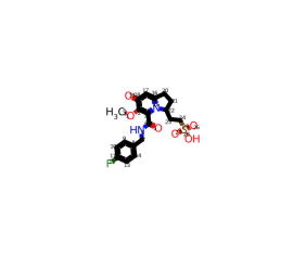 COc1c(C(=O)NCc2ccc(F)cc2)n2c(cc1=O)CCC2CCS(=O)(=O)O